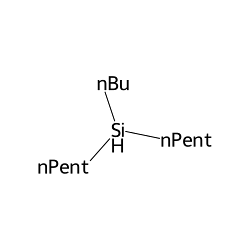 CCCCC[SiH](CCCC)CCCCC